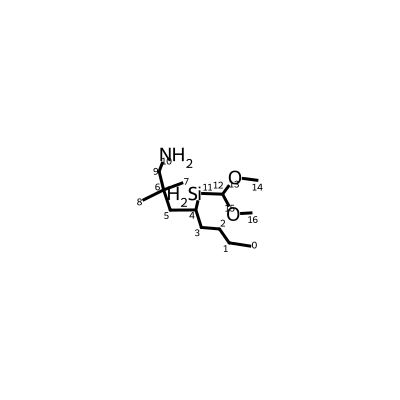 CCCCC(CC(C)(C)CN)[SiH2]C(OC)OC